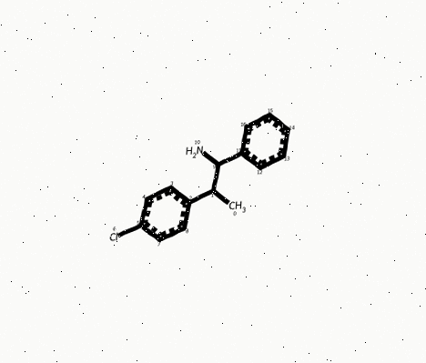 CC(c1ccc(Cl)cc1)C(N)c1ccccc1